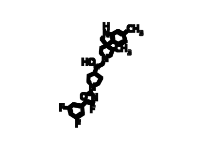 Cc1ccc2c(c1)NCC21CCN(C[C@@H](O)C2CCN(c3nc(F)c(-c4cc(F)cc(F)c4)o3)CC2)CC1C